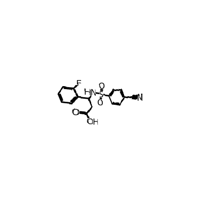 N#Cc1ccc(S(=O)(=O)NC(CC(=O)O)c2ccccc2F)cc1